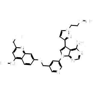 CCc1cc(NC)c2ccc(OCc3cncc(-n4cc(-c5ccn(CCOC)n5)c5c(N)ncnc54)c3)cc2n1